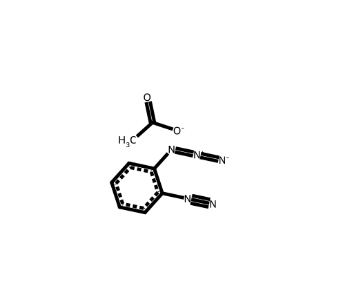 CC(=O)[O-].N#[N+]c1ccccc1N=[N+]=[N-]